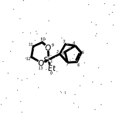 CC[Si]1(C2CC3C=CC2C3)OCCCO1